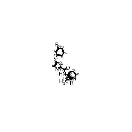 C[C@H]1[C@H](NC(=O)c2ncc(Sc3cccc(F)c3)o2)C2CCN1CC2